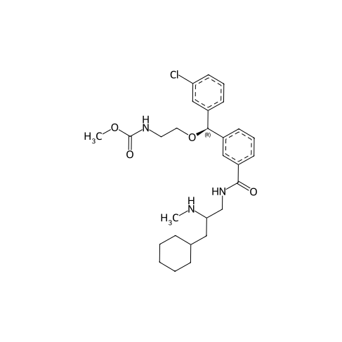 CNC(CNC(=O)c1cccc([C@@H](OCCNC(=O)OC)c2cccc(Cl)c2)c1)CC1CCCCC1